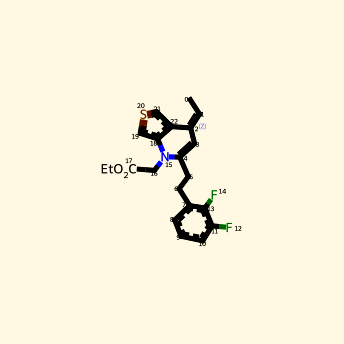 C/C=C1/C=C(CCc2cccc(F)c2F)N(CC(=O)OCC)c2cscc21